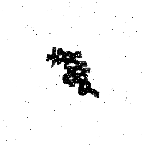 CC(NC(=O)Nc1c(Cl)cc(Cl)c(OC(F)(F)C(F)F)c1I)c1nccnc1-c1ccc(C#N)cn1